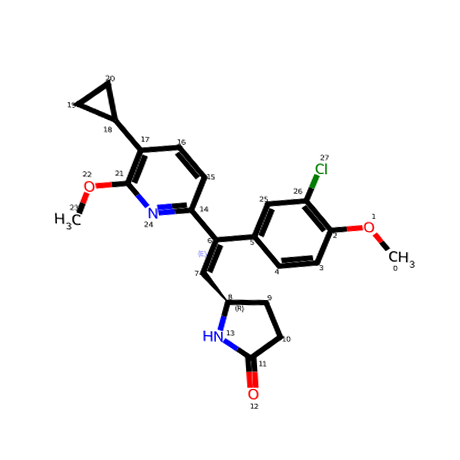 COc1ccc(/C(=C\[C@H]2CCC(=O)N2)c2ccc(C3CC3)c(OC)n2)cc1Cl